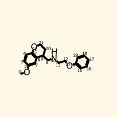 COc1ccc2c(c1)C(CNCCOc1ccccc1)CCO2